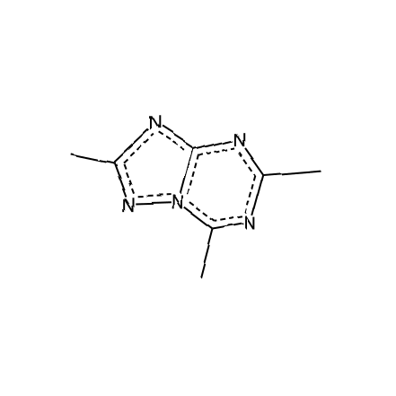 Cc1nc(C)n2nc(C)nc2n1